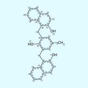 Cc1cc(Cc2c(O)ccc3ccccc23)c(O)c(Cc2c(O)ccc3ccccc23)c1